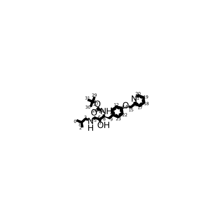 CC(C)CNCC(O)[C@H](Cc1ccc(OCc2ccccn2)cc1)NC(=O)OC(C)(C)C